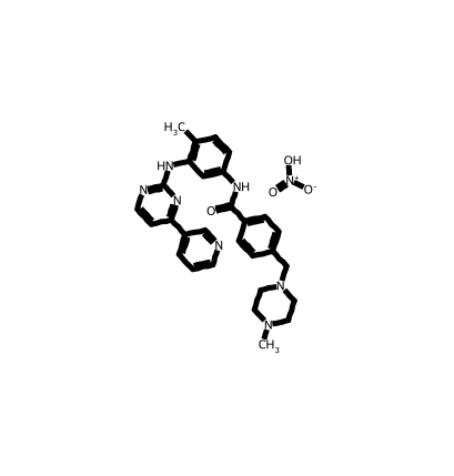 Cc1ccc(NC(=O)c2ccc(CN3CCN(C)CC3)cc2)cc1Nc1nccc(-c2cccnc2)n1.O=[N+]([O-])O